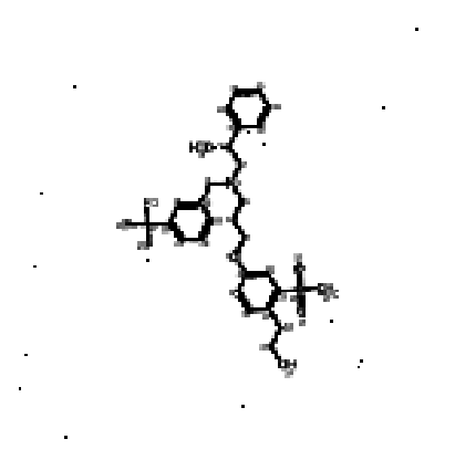 CC(CN(CCCOc1ccc(CCO)c(S(C)(=O)=O)c1)Cc1cccc(C(F)(F)F)c1)c1ccccc1